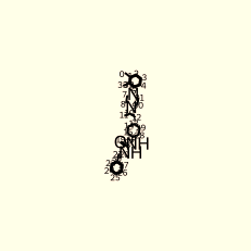 Cc1cccc(N2CCN(C(C)C[C@H]3CC[C@H](NC(=O)NCc4ccccc4)CC3)CC2)c1C